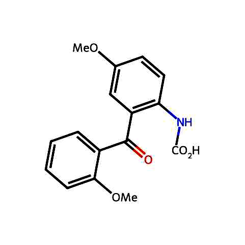 COc1ccc(NC(=O)O)c(C(=O)c2ccccc2OC)c1